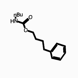 [CH2]CCCNC(=O)OCCCCc1ccccc1